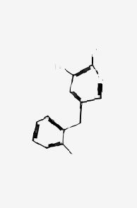 N#Cc1ncc(Cc2ccccc2F)cc1Br